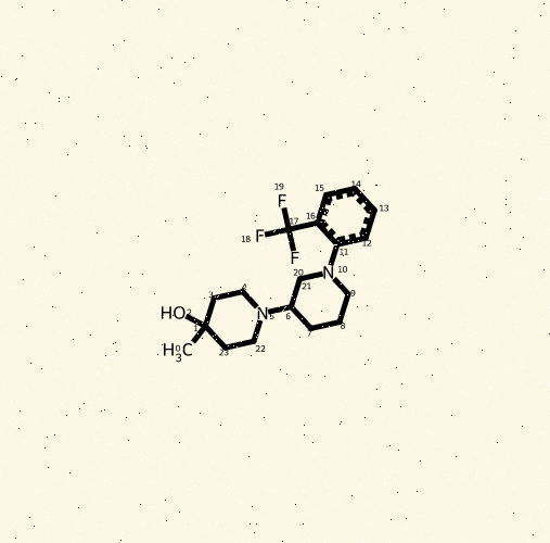 CC1(O)CCN(C2CCCN(c3ccccc3C(F)(F)F)C2)CC1